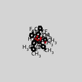 C=CCc1cc(-c2c(C)cc(C)cc2C)ccc1N(C)c1ccc(-c2c(C(F)(F)F)cccc2C(F)(F)F)cc1-c1c(C#N)cccc1-n1c2ccc(-c3c(C)cc(C)cc3C)cc2c2cc(-c3c(C)cc(C)cc3C)ccc21